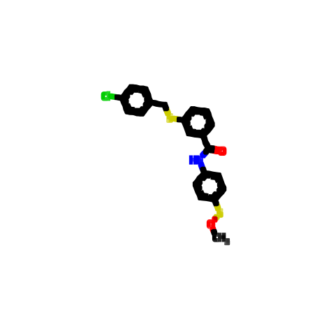 COSc1ccc(NC(=O)c2cccc(SCc3ccc(Cl)cc3)c2)cc1